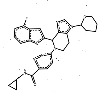 O=C(NC1CC1)c1ccc(N2CCc3c(ncn3C3CCCCO3)C2c2cc3c(F)cccn3n2)nn1